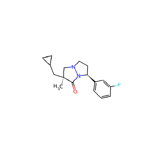 C[C@]1(CC2CC2)CN2CC[C@@H](c3cccc(F)c3)N2C1=O